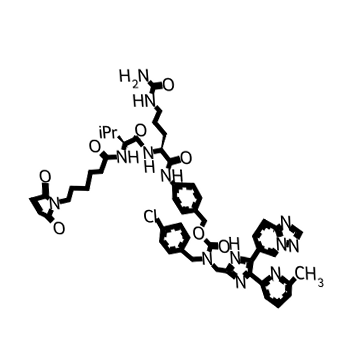 Cc1cccc(-c2nc(CN(Cc3ccc(Cl)cc3)C(=O)OCc3ccc(NC(=O)[C@H](CCCNC(N)=O)NC(=O)[C@@H](NC(=O)CCCCCN4C(=O)C=CC4=O)C(C)C)cc3)[nH]c2-c2ccc3ncnn3c2)n1